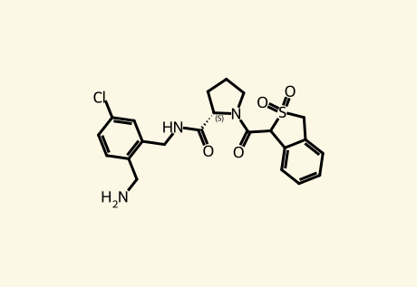 NCc1ccc(Cl)cc1CNC(=O)[C@@H]1CCCN1C(=O)C1c2ccccc2CS1(=O)=O